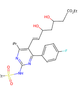 CCOC(=O)CC(O)CC(O)/C=C/c1c(-c2ccc(F)cc2)nc(NS(=O)(=O)CC)nc1C(C)C